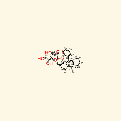 CC1=CC(C)=C(O[C@H]2O[C@H]([C@@H](O)CO)[C@H](O)[C@H]2O)C(C(c2ccccc2)c2ccccc2)C1=C(C)C